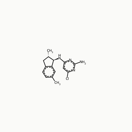 Cc1ccc2c(c1)[C@H](Nc1cc(Cl)nc(N)n1)[C@@H](C)C2